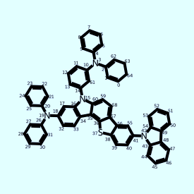 C1=CC(N(c2ccccc2)c2cccc(-n3c4cc(N(c5ccccc5)c5ccccc5)ccc4c4c5sc6ccc(-n7c8ccccc8c8ccccc87)cc6c5ccc43)c2)=CCC1